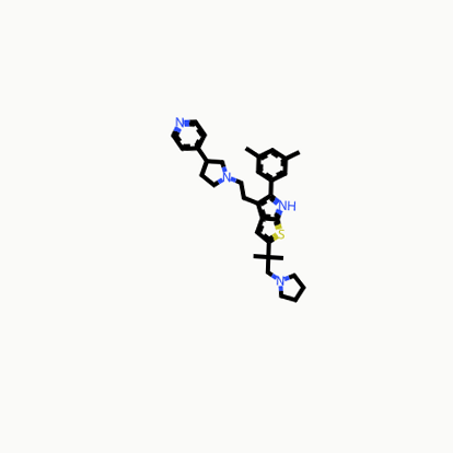 Cc1cc(C)cc(-c2[nH]c3sc(C(C)(C)CN4CCCC4)cc3c2CCN2CCC(c3ccncc3)C2)c1